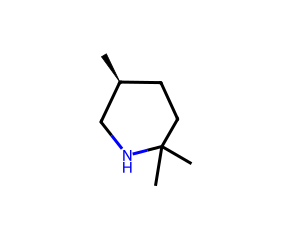 C[C@H]1CCC(C)(C)NC1